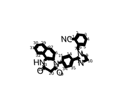 N#Cc1ccccc1Cn1ccnc1-c1ccc(N2C(=O)CC(=O)Nc3c2ccc2ccccc32)cc1